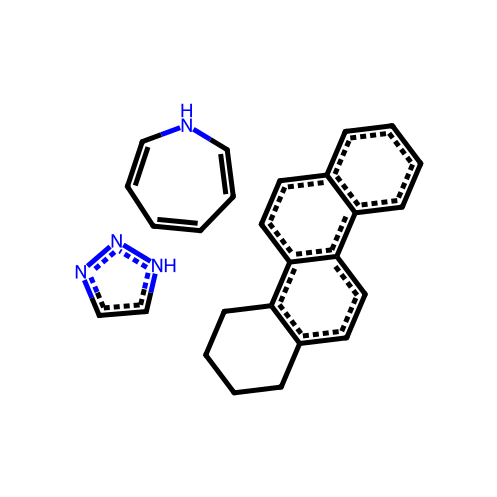 C1=CC=CNC=C1.c1c[nH]nn1.c1ccc2c(c1)ccc1c3c(ccc12)CCCC3